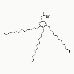 CCCCCCCCCCCCc1cc(CC(C)Br)cc(CCCCCCCCCCCC)c1CCCCCCCCCCCC